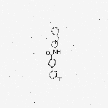 O=C(N[C@@H]1CCN(Cc2ccccc2)C1)c1ccc(-c2cccc(F)c2)cc1